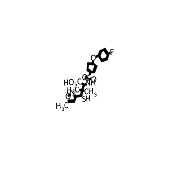 Cc1cc(C(S)C(C)(C)C(NS(=O)(=O)c2ccc(Oc3ccc(F)cc3)cc2)C(=O)O)no1